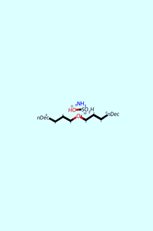 CCCCCCCCCCCCCOCCCCCCCCCCCCC.N.O=S(=O)(O)O